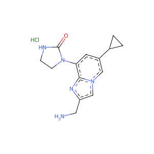 Cl.NCc1cn2cc(C3CC3)cc(N3CCNC3=O)c2n1